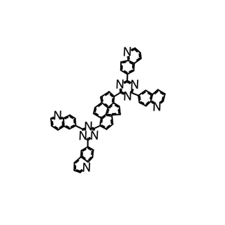 c1cnc2ccc(-c3nc(-c4ccc5ncccc5c4)nc(-c4ccc5ccc6c(-c7nc(-c8ccc9ncccc9c8)nc(-c8ccc9ncccc9c8)n7)ccc7ccc4c5c76)n3)cc2c1